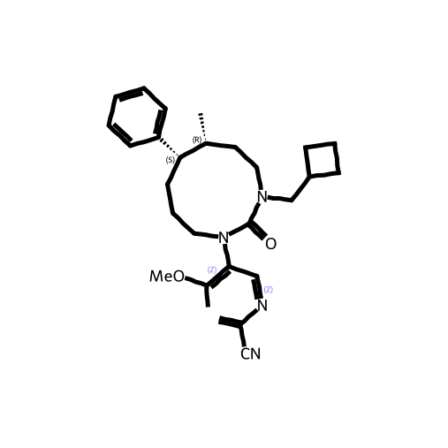 C=C(C#N)/N=C\C(=C(/C)OC)N1CCC[C@H](c2ccccc2)[C@H](C)CCN(CC2CCC2)C1=O